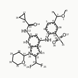 COC(C)c1ccc(Nc2cc(NC(=O)C3CC3)nc3c2nc(C(F)F)n3C2CCCCO2)c(S(C)(=O)=O)c1